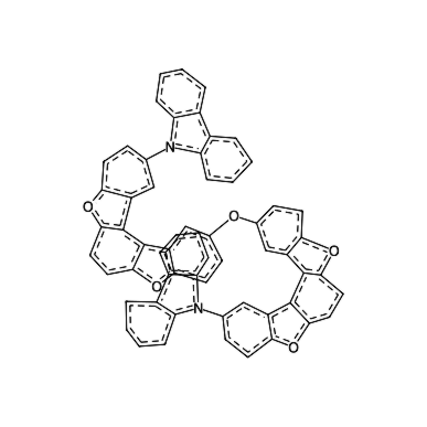 c1ccc2c(c1)c1ccccc1n2-c1ccc2oc3ccc4oc5ccc(Oc6ccc7oc8ccc9oc%10ccc(-n%11c%12ccccc%12c%12ccccc%12%11)cc%10c9c8c7c6)cc5c4c3c2c1